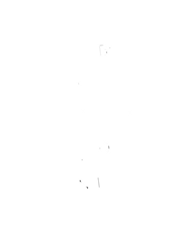 N=c1ccc2cc(Br)ccc2o1